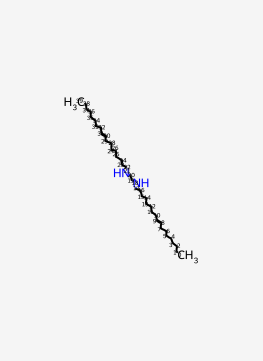 CCCCCCCCC=CCCCCCCCCNCCNCCCCCCCCC=CCCCCCCCC